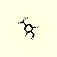 O=Cc1c(F)cc(C(=O)O)cc1Br